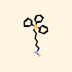 BrNCCCCCC[PH](c1ccccc1)(c1ccccc1)c1ccccc1